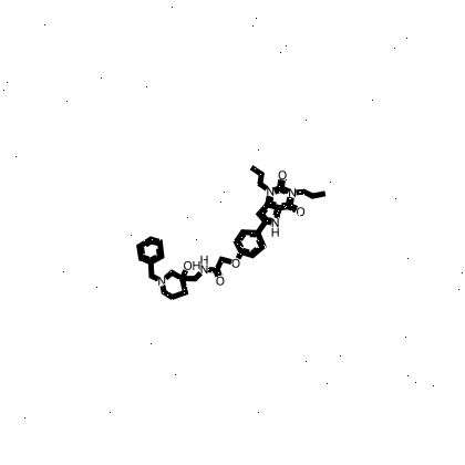 CCCn1c(=O)c2[nH]c(-c3ccc(OCC(=O)NCC4(O)CCCN(Cc5ccccc5)C4)cc3)cc2n(CCC)c1=O